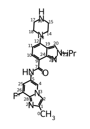 Cc1cn2cc(NC(=O)c3ccc(N4CCNCC4)c4cn(C(C)C)nc34)cc(F)c2n1